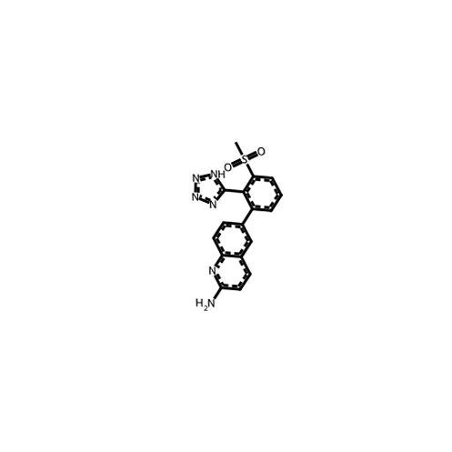 CS(=O)(=O)c1cccc(-c2ccc3nc(N)ccc3c2)c1-c1nnn[nH]1